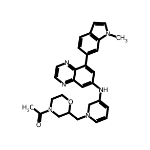 CC(=O)N1CCOC(CN2C=CC=C(Nc3cc(-c4ccc5ccn(C)c5c4)c4nccnc4c3)C2)C1